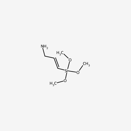 CO[Si](C=CCN)(OC)OC